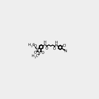 CCn1c(=O)c2cc(NC(=O)CCCC(=O)Nc3ccc(C#N)c(Cl)c3)ccc2n(COC)c1=O